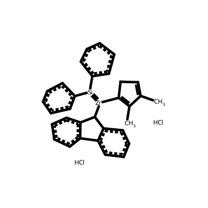 CC1=CC[C]([Zr]([CH]2c3ccccc3-c3ccccc32)=[Si](c2ccccc2)c2ccccc2)=C1C.Cl.Cl